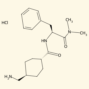 CN(C)C(=O)[C@H](Cc1ccccc1)NC(=O)[C@H]1CC[C@H](CN)CC1.Cl